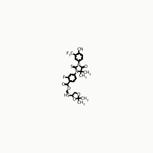 CC1(C)OCC(/[SH]=C\OC(=O)c2ccc(N3C(=S)N(c4ccc(C#N)c(C(F)(F)F)c4)C(=O)C3(C)C)cc2F)O1